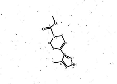 COC(=O)N1CC=C(c2n[nH]cc2C)CC1